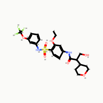 CCOc1cc(NC(=O)C(CO)C2CCOCC2)ccc1S(=O)(=O)Nc1cccc(OC(F)(F)F)c1